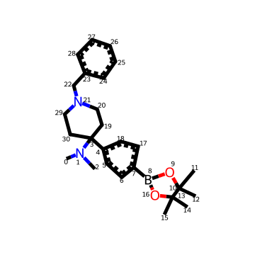 CN(C)C1(c2ccc(B3OC(C)(C)C(C)(C)O3)cc2)CCN(Cc2ccccc2)CC1